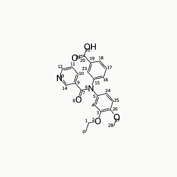 CCOc1cc(N(C(=O)c2cccnc2)c2cccc(C(=O)O)c2)ccc1OC